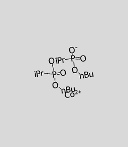 CCCCOP(=O)([O-])C(C)C.CCCCOP(=O)([O-])C(C)C.[Co+2]